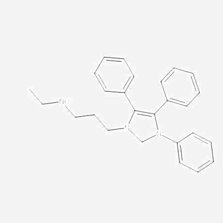 CCNCCCN1CN(c2ccccc2)C(c2ccccc2)=C1c1ccccc1